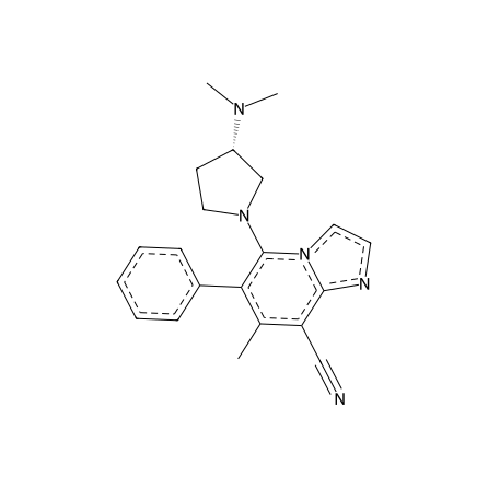 Cc1c(-c2ccccc2)c(N2CC[C@H](N(C)C)C2)n2ccnc2c1C#N